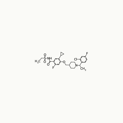 CCS(=O)(=O)NC(=O)c1cc(C2CC2)c(OCC2CCN(C(C)c3ccc(F)cc3Cl)CC2)cc1F